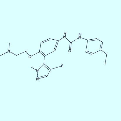 CN(C)CCOc1ccc(NC(=O)Nc2ccc(CI)cc2)cc1-c1c(F)cnn1C